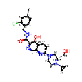 Cc1ccc(CNC(=O)c2ncc3nc(N4CCN(C5CC5)[C@@H](CO)C4)ccc3c2O)c(Cl)c1